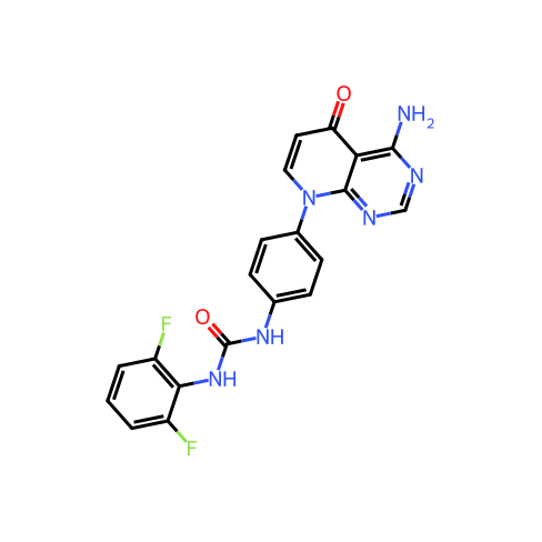 Nc1ncnc2c1c(=O)ccn2-c1ccc(NC(=O)Nc2c(F)cccc2F)cc1